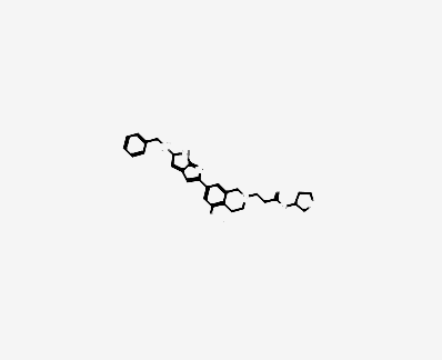 Cc1cc(C2=CC3=CC(S(=O)(=O)Cc4ccccc4)NC3=N2)cc2c1CCN(CCC(=O)NC1CCOC1)C2